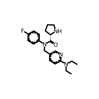 CCN(CC)c1ccc(CN(C(=O)[C@@H]2CCCN2)c2ccc(F)cc2)cn1